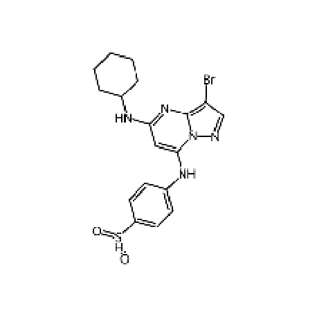 O=[SH](=O)c1ccc(Nc2cc(NC3CCCCC3)nc3c(Br)cnn23)cc1